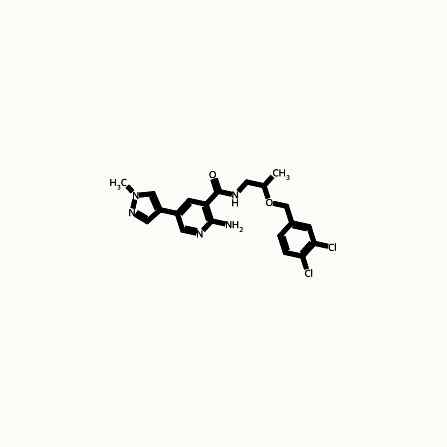 CC(CNC(=O)c1cc(-c2cnn(C)c2)cnc1N)OCc1ccc(Cl)c(Cl)c1